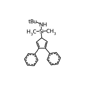 CC(C)(C)N[Si](C)(C)C1C=C(c2ccccc2)C(c2ccccc2)=C1